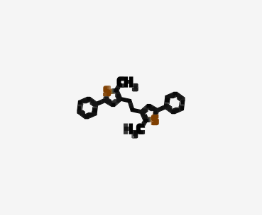 Cc1sc(-c2ccccc2)cc1CCc1cc(-c2ccccc2)sc1C